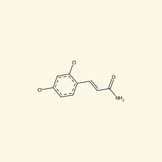 NC(=O)C=Cc1ccc(Cl)cc1Cl